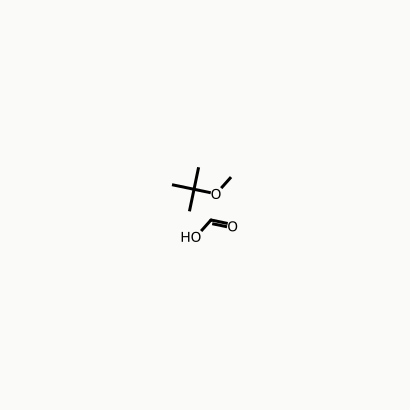 COC(C)(C)C.O=CO